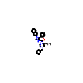 CC(C)C[C@@H]1CN(Cc2ccccc2)CCN1C(=O)c1ncn(C2Cc3ccccc3C2)c1-c1ccccc1